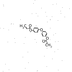 C=CC(=O)Oc1ccc(Oc2ccc(OC(=O)C=C)cc2)cc1